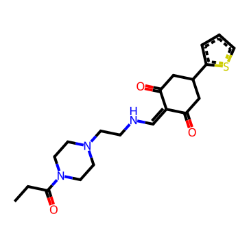 CCC(=O)N1CCN(CCNC=C2C(=O)CC(c3cccs3)CC2=O)CC1